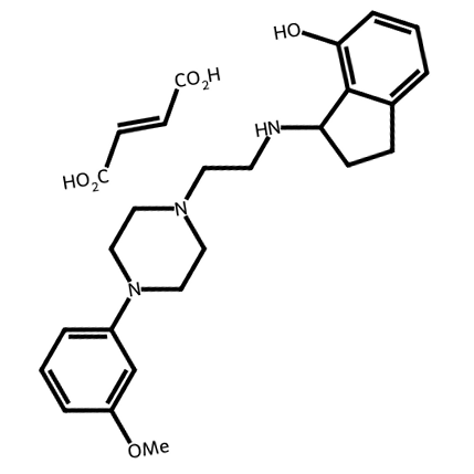 COc1cccc(N2CCN(CCNC3CCc4cccc(O)c43)CC2)c1.O=C(O)C=CC(=O)O